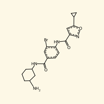 NC1CCCC(NC(=O)c2ccc(NC(=O)c3cc(C4CC4)on3)c(Br)c2)C1